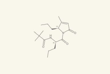 CCC[C@@H](NC(=O)C(C)(C)C)C(=O)N1C(=O)C=C(C)[C@@H]1CCC